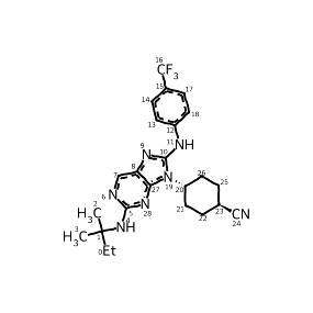 CCC(C)(C)Nc1ncc2nc(Nc3ccc(C(F)(F)F)cc3)n([C@H]3CC[C@H](C#N)CC3)c2n1